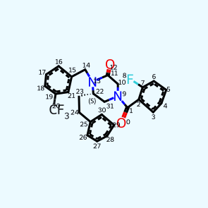 O=C(c1ccccc1F)N1CC(=O)N(Cc2cccc(C(F)(F)F)c2)[C@@H](CCc2ccccc2)C1